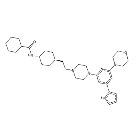 O=C(N[C@H]1CC[C@H](CCN2CCN(c3cc(-c4ccc[nH]4)cc(N4CCOCC4)n3)CC2)CC1)C1CCCCC1